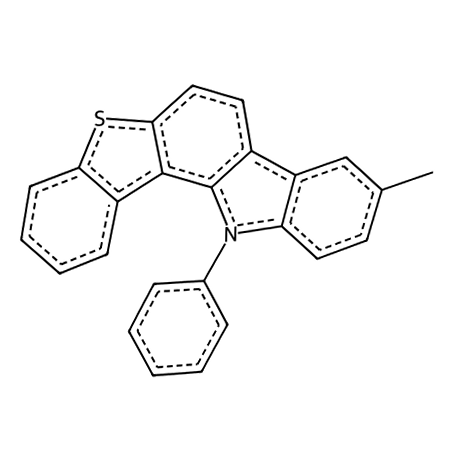 Cc1ccc2c(c1)c1ccc3sc4ccccc4c3c1n2-c1ccccc1